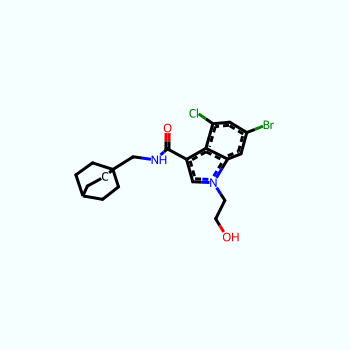 O=C(NCC12CCC(CC1)CC2)c1cn(CCO)c2cc(Br)cc(Cl)c12